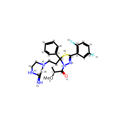 CO[C@@H](C)C(=O)N1N=C(c2cc(F)ccc2F)SC1(CCN1CCNC(=N)C1)c1ccccc1